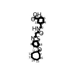 O=C(Cc1nc2ccc(OC3CCCCCCC3)cc2s1)NCc1cccc(C(=O)O)c1